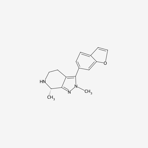 C[C@@H]1NCCc2c1nn(C)c2-c1ccc2ccoc2c1